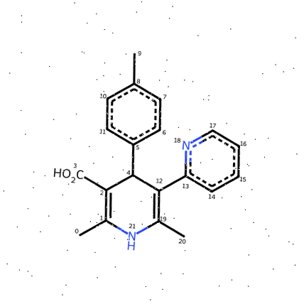 CC1=C(C(=O)O)C(c2ccc(C)cc2)C(c2ccccn2)=C(C)N1